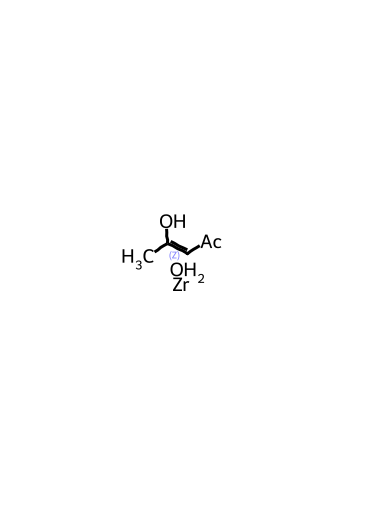 CC(=O)/C=C(/C)O.O.[Zr]